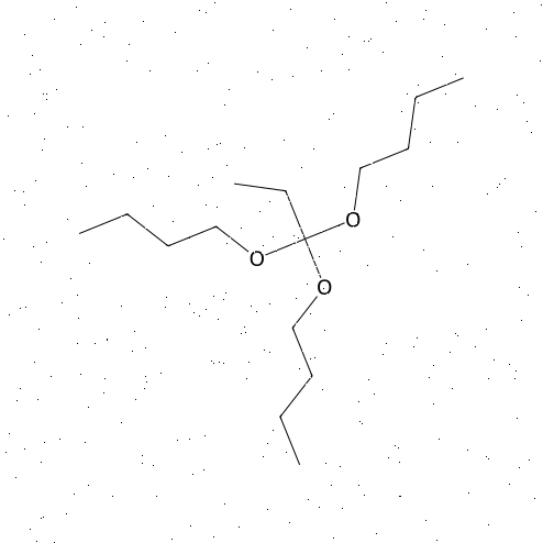 CCCCOC(CC)(OCCCC)OCCCC